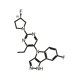 CCc1nc(N2CC[C@@H](F)C2)ncc1-n1c2ccc(F)cc2c2[nH]ncc21